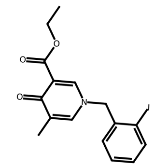 CCOC(=O)c1cn(Cc2ccccc2I)cc(C)c1=O